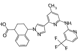 Cc1cc(Nc2cc(C(F)(F)F)ccn2)nc(-c2cnn(C3CCC(C(=O)O)c4ccccc43)c2)c1